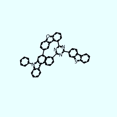 c1ccc(-c2nc(-c3ccc4c(c3)sc3ccccc34)nc(-c3cccc4oc5ccc(-c6ccc7c8ccccc8n(-c8ccccc8)c7c6)cc5c34)n2)cc1